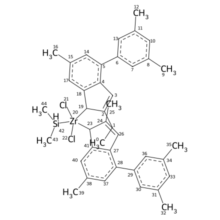 CCC1=Cc2c(-c3cc(C)cc(C)c3)cc(C)cc2[CH]1[Zr]([Cl])([Cl])([CH]1C(C)=Cc2c(-c3cc(C)cc(C)c3)cc(C)cc21)[SiH](C)C